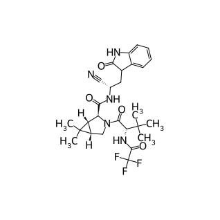 CC(C)(C)[C@H](NC(=O)C(F)(F)F)C(=O)N1C[C@H]2[C@@H]([C@H]1C(=O)N[C@H](C#N)CC1C(=O)Nc3ccccc31)C2(C)C